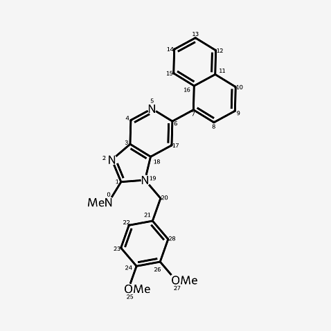 CNc1nc2cnc(-c3cccc4ccccc34)cc2n1Cc1ccc(OC)c(OC)c1